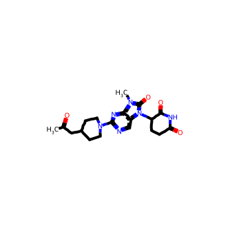 CC(=O)CC1CCN(c2ncc3c(n2)n(C)c(=O)n3C2CCC(=O)NC2=O)CC1